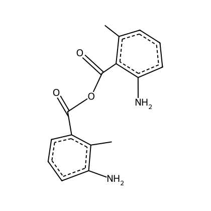 Cc1cccc(N)c1C(=O)OC(=O)c1cccc(N)c1C